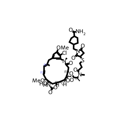 COc1cc2cc(c1Cl)N(C)C(=O)C[C@H](OC(=O)[C@H](C)N(C)C(=O)CCSC1CC(=O)N(CC3CCC(C(N)=O)CC3)C1=O)[C@]1(C)O[C@H]1[C@H](C)[C@@H]1C[C@@](O)(NC(=O)O1)[C@H](OC)/C=C/C=C(\C)C2